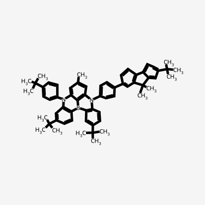 Cc1cc2c3c(c1)N(c1ccc(C(C)(C)C)cc1)c1cc(C(C)(C)C)ccc1B3c1cc(C(C)(C)C)ccc1N2c1ccc(-c2ccc3c(c2)C(C)(C)c2cc(C(C)(C)C)ccc2-3)cc1